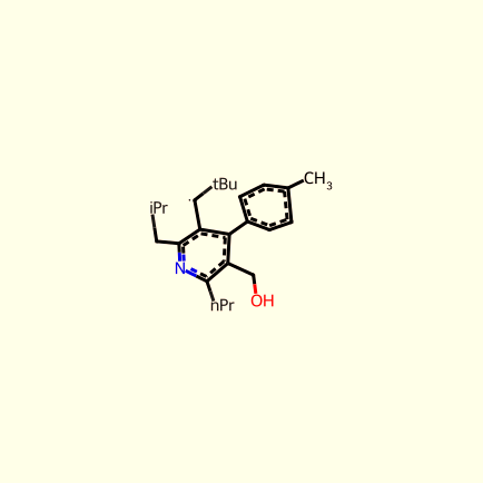 CCCc1nc(CC(C)C)c([CH]C(C)(C)C)c(-c2ccc(C)cc2)c1CO